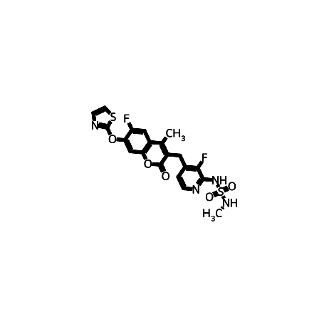 CNS(=O)(=O)Nc1nccc(Cc2c(C)c3cc(F)c(Oc4nccs4)cc3oc2=O)c1F